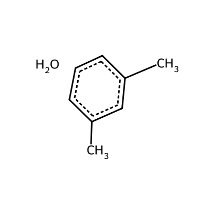 Cc1cccc(C)c1.O